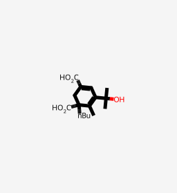 CCCCC1(C(=O)O)CC(C(=O)O)=CC(C(C)(C)O)=C1C